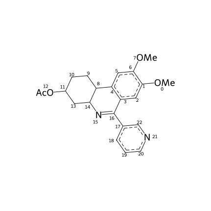 COc1cc2c(cc1OC)C1CCC(OC(C)=O)CC1N=C2c1cccnc1